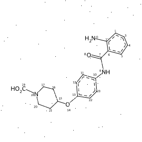 Nc1ccccc1C(=O)Nc1ccc(OC2CCN(C(=O)O)CC2)cc1